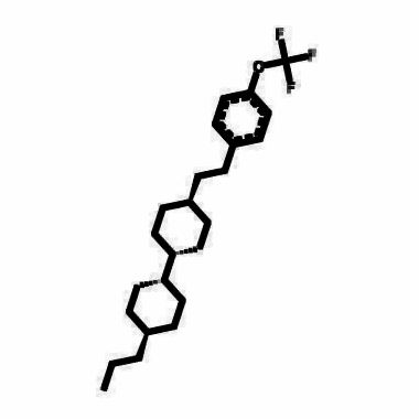 CCC[C@H]1CC[C@H]([C@H]2CC[C@H](CCc3ccc(OC(F)(F)F)cc3)CC2)CC1